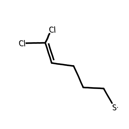 [S]CCCC=C(Cl)Cl